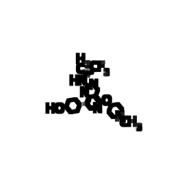 C[C@@H](CC(F)(F)F)Nc1ncc2c(OC3CCN(C)CC3)ncc([C@H]3CC[C@H](O)CC3)c2n1